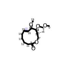 COCO[C@H]1[C@H](C)COC(=O)CCCC/C=C/[C@@H]1OC